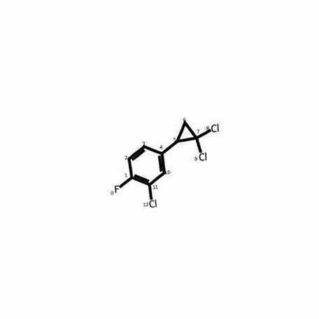 Fc1ccc(C2CC2(Cl)Cl)cc1Cl